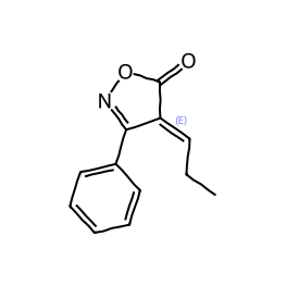 CC/C=C1/C(=O)ON=C1c1ccccc1